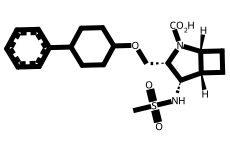 CS(=O)(=O)N[C@H]1[C@H]2CC[C@H]2N(C(=O)O)[C@H]1COC1CCC(c2ccccc2)CC1